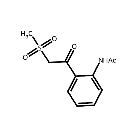 CC(=O)Nc1ccccc1C(=O)CS(C)(=O)=O